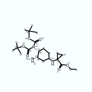 CCOC(=O)C1(NC2CC[C@@H](N(C(=O)OC(C)(C)C)C(=O)OC(C)(C)C)[C@@H](N)C2)CC1